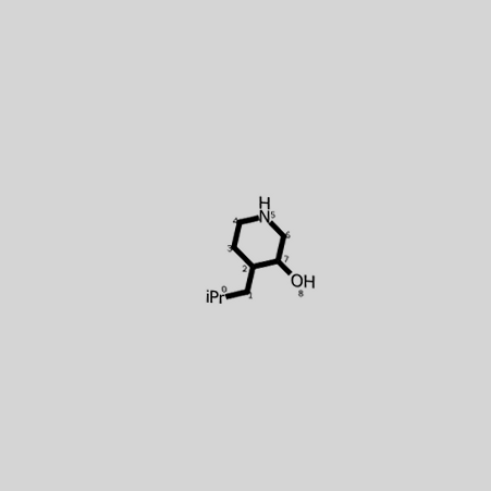 CC(C)CC1CCNCC1O